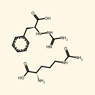 N=C(N)NN[C@@H](Cc1ccccc1)C(=O)O.NC(=O)NCCC[C@H](N)C(=O)O